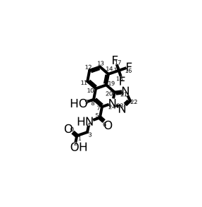 O=C(O)CNC(=O)c1c(O)c2cccc(C(F)(F)F)c2c2ncnn12